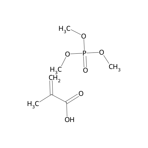 C=C(C)C(=O)O.COP(=O)(OC)OC